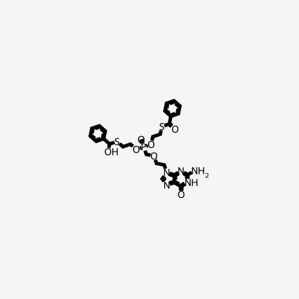 Nc1nc2c(ncn2CCOCP(=O)(OCCSC(=O)c2ccccc2)OCCSC(O)c2ccccc2)c(=O)[nH]1